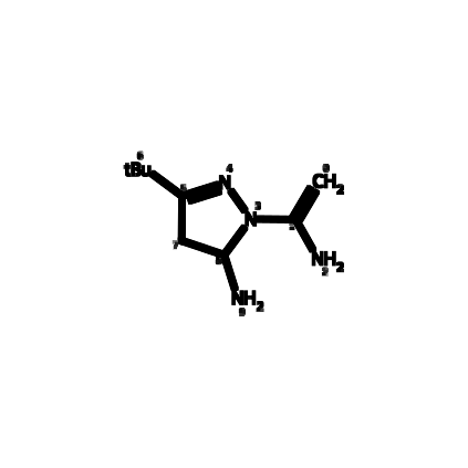 C=C(N)N1N=C(C(C)(C)C)CC1N